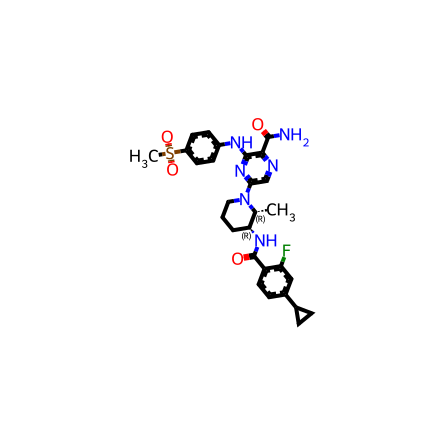 C[C@@H]1[C@H](NC(=O)c2ccc(C3CC3)cc2F)CCCN1c1cnc(C(N)=O)c(Nc2ccc(S(C)(=O)=O)cc2)n1